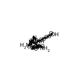 CCn1nc(C)cc1C(=O)N=c1n(C)c2cc(C(N)=O)ccc2n1CCC(CCn1c(=NC(=O)c2cc(C)nn2CC)n(C)c2cc(C(N)=O)ccc21)OCC(=O)NCCOCCOCCOCCOCCC(=O)O